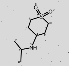 CC(C)NC1CCS(=O)(=O)CC1